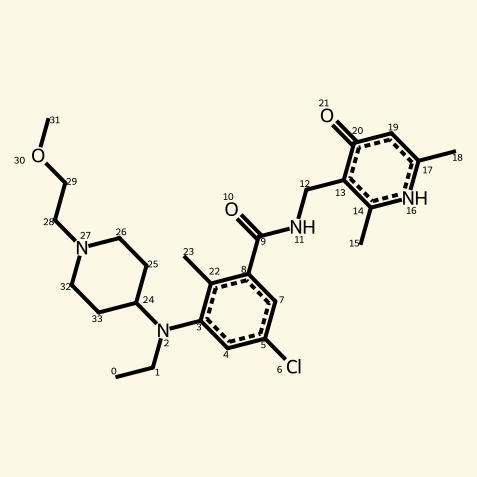 CCN(c1cc(Cl)cc(C(=O)NCc2c(C)[nH]c(C)cc2=O)c1C)C1CCN(CCOC)CC1